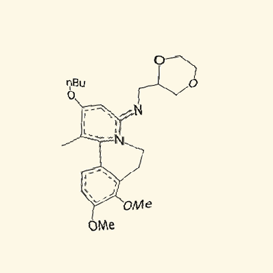 CCCCOc1c/c(=N\CC2COCCO2)n2c(c1C)-c1ccc(OC)c(OC)c1CC2